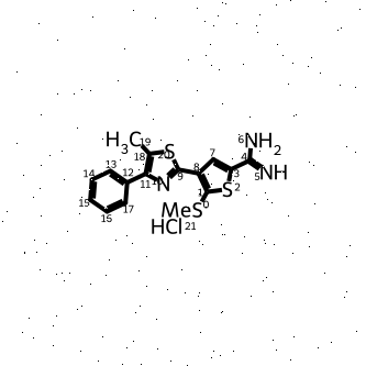 CSc1sc(C(=N)N)cc1-c1nc(-c2ccccc2)c(C)s1.Cl